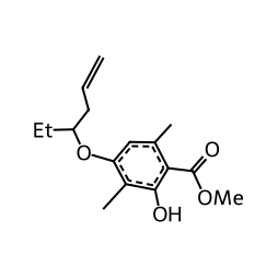 C=CCC(CC)Oc1cc(C)c(C(=O)OC)c(O)c1C